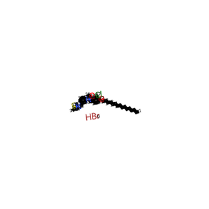 Br.CCCCCCCCCCCCCCCCOc1ccc(CN(C(C)=O)c2cccc(CN3C=C(C)SC3)c2)cc1Cl